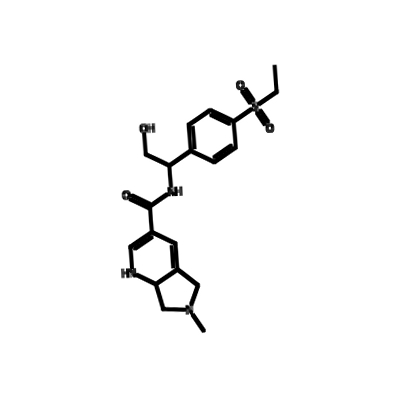 CCS(=O)(=O)c1ccc(C(CO)NC(=O)C2=CNC3CN(C)CC3=C2)cc1